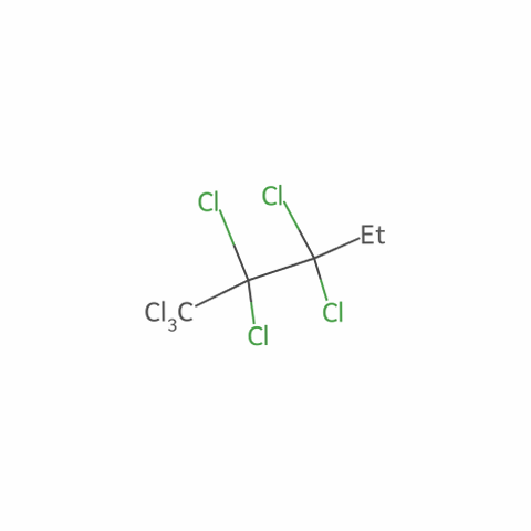 [CH2]CC(Cl)(Cl)C(Cl)(Cl)C(Cl)(Cl)Cl